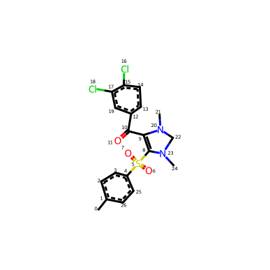 Cc1ccc(S(=O)(=O)C2=C(C(=O)c3ccc(Cl)c(Cl)c3)N(C)CN2C)cc1